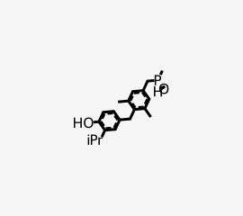 Cc1cc(C[PH](C)=O)cc(C)c1Cc1ccc(O)c(C(C)C)c1